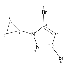 Brc1cc(Br)n(C2CC2)n1